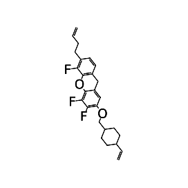 C=CCCc1ccc2c(c1F)Oc1c(cc(OCC3CCC(C=C)CC3)c(F)c1F)C2